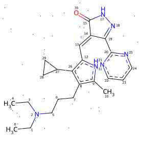 CCN(CC)CCCc1c(C)[nH]c(/C=C2/C(=O)NN=C2c2ncccn2)c1C1CC1